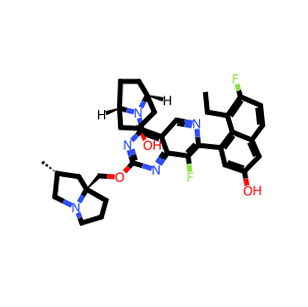 CCc1c(F)ccc2cc(O)cc(-c3ncc4c(N5[C@@H]6CC[C@H]5C[C@H](O)C6)nc(OC[C@@]56CCCN5C[C@H](C)C6)nc4c3F)c12